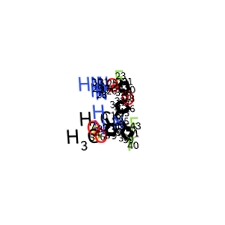 Cc1c(NS(C)(=O)=O)cccc1N(Cc1ccc(Oc2ccc(F)c(OCc3nn[nH]n3)c2)cc1)Cc1ccc(F)cc1F